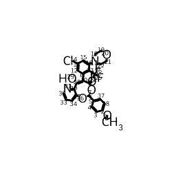 COc1ccc(C2OC(=O)/C(c3cc(Cl)cc(N4CCOCC4)c3C(F)(F)F)=C(/O)c3ncccc3O2)cc1